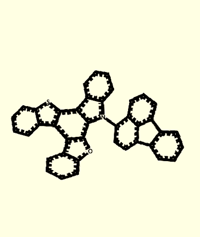 c1ccc2c(c1)-c1cccc3c(-n4c5ccccc5c5c6sc7ccccc7c6c6c7ccccc7oc6c54)ccc-2c13